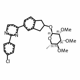 CO[C@@H]1[C@@H](OC)[C@H](C)O[C@@H](OC2Cc3ccc(-c4ccnc(-c5ccc(Cl)cc5)n4)cc3C2)[C@@H]1OC